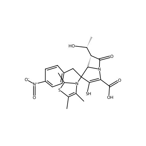 CC1=C(C)N(C2(Cc3ccc([N+](=O)[O-])cc3)C(S)=C(C(=O)O)N3C(=O)[C@@H]([C@@H](C)O)C32)C(C)S1